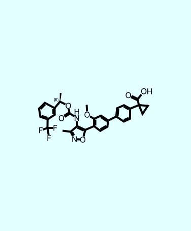 COc1cc(-c2ccc(C3(C(=O)O)CC3)cc2)ccc1-c1onc(C)c1NC(=O)O[C@H](C)c1cccc(C(F)(F)F)c1